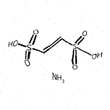 N.O=S(=O)(O)C=CS(=O)(=O)O